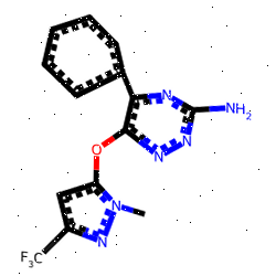 Cn1nc(C(F)(F)F)cc1Oc1nnc(N)nc1-c1ccccc1